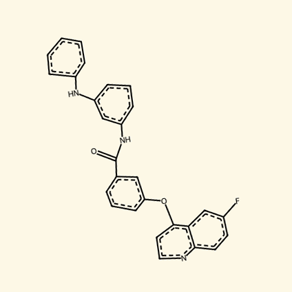 O=C(Nc1cccc(Nc2ccccc2)c1)c1cccc(Oc2ccnc3ccc(F)cc23)c1